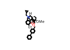 CCc1ccc2c3c1O[C@H]1[C@@]4(OC)CC[C@@]5(C[C@@H]4COCc4ccc(-c6ccccc6)cc4)[C@@H](C2)N(CC2CC2)CC[C@]315